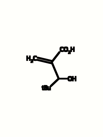 C=C(C(=O)O)C(O)C(C)(C)C